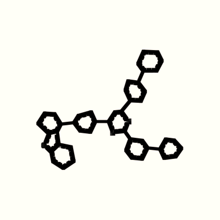 c1ccc(-c2ccc(-c3cc(-c4ccc(-c5cccc6oc7ccccc7c56)cc4)nc(-c4cccc(-c5ccccc5)c4)n3)cc2)cc1